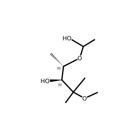 COC(C)(C)[C@@H](O)[C@H](C)OC(C)O